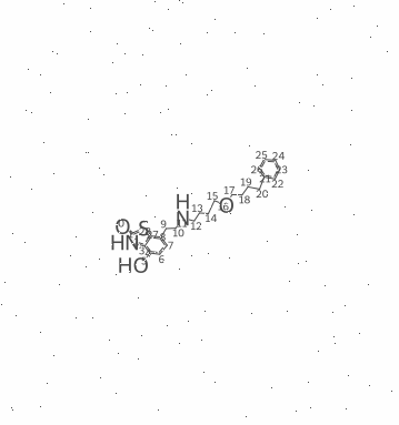 O=c1[nH]c2c(O)ccc(CCNCCCCOCCCCc3ccccc3)c2s1